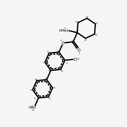 CCCCCCC1(C(=O)Oc2ccc(-c3ccc(CCCC)cc3)cc2Cl)CCCCC1